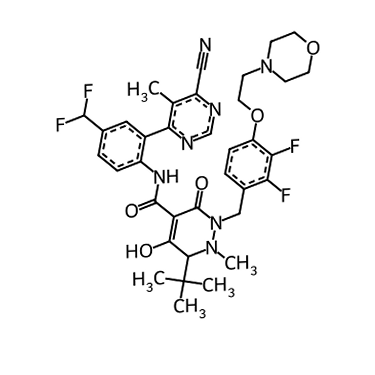 Cc1c(C#N)ncnc1-c1cc(C(F)F)ccc1NC(=O)C1=C(O)C(C(C)(C)C)N(C)N(Cc2ccc(OCCN3CCOCC3)c(F)c2F)C1=O